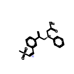 C=C(C[C@H](CC(=O)C(C)(C)C)c1ccccc1)c1cccc(/C=C\S(C)(=O)=O)c1